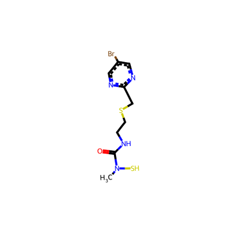 CN(S)C(=O)NCCSCc1ncc(Br)cn1